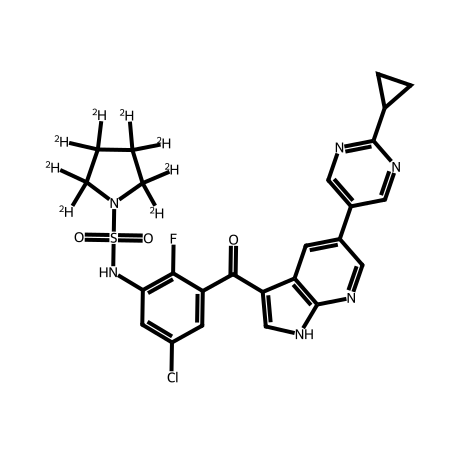 [2H]C1([2H])N(S(=O)(=O)Nc2cc(Cl)cc(C(=O)c3c[nH]c4ncc(-c5cnc(C6CC6)nc5)cc34)c2F)C([2H])([2H])C([2H])([2H])C1([2H])[2H]